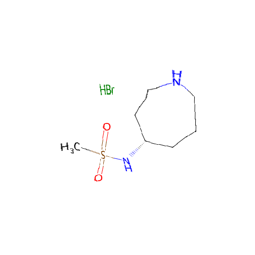 Br.CS(=O)(=O)N[C@H]1CCCNCC1